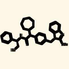 CSc1nc2ccccc2n1Cc1ccc(C(C(=O)N[C@@H](CO)c2ccccc2)C2CCCCCC2)cc1